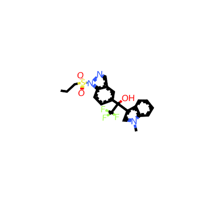 CCCS(=O)(=O)n1ncc2cc(C(O)(c3cn(C)c4ccccc34)C(F)(F)F)ccc21